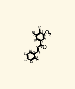 COc1cc(C(=O)/C=C/c2ccccc2C)cc(C)c1C